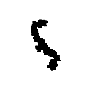 C=CC(C=C)OC(=O)CCC(C)CCOc1ccc(-c2ccc(-c3ccc4c(c3)C(CCC)(CCC)c3cc(-c5ccc(-c6ccc(OCCC(C)CCC(=O)OC(C=C)C=C)cc6)s5)ccc3-4)s2)cc1